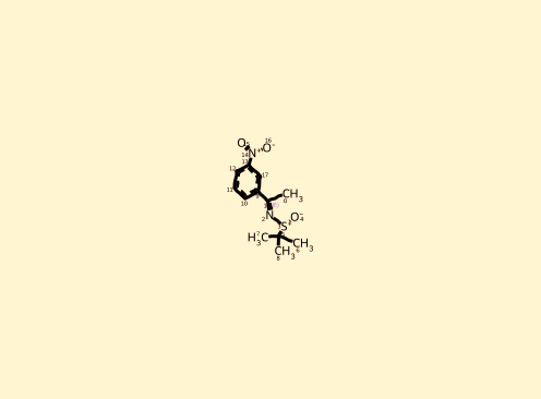 C/C(=N\[S+]([O-])C(C)(C)C)c1cccc([N+](=O)[O-])c1